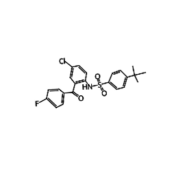 CC(C)(C)c1ccc(S(=O)(=O)Nc2ccc(Cl)cc2C(=O)c2ccc(F)cc2)cc1